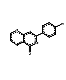 O=c1[nH]c(-c2ccc(Br)cc2)nc2nccnc12